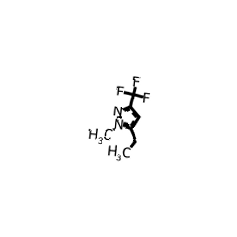 CCc1cc(C(F)(F)F)nn1C